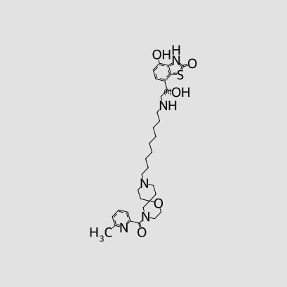 Cc1cccc(C(=O)N2CCOC3(CCN(CCCCCCCCCNC[C@H](O)c4ccc(O)c5[nH]c(=O)sc45)CC3)C2)n1